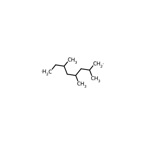 [CH2]CC(C)CC(C)CC([CH2])C